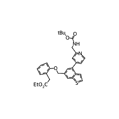 CCOC(=O)Cc1ccccc1OCc1cc(-c2ccnc(CNC(=O)OC(C)(C)C)c2)c2ccsc2c1